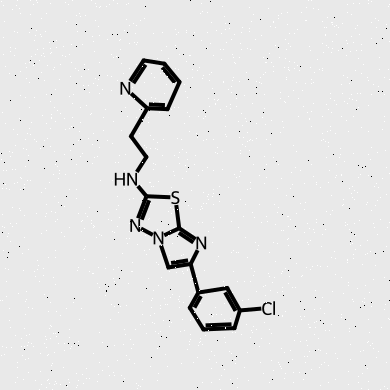 Clc1cccc(-c2cn3nc(NCCc4ccccn4)sc3n2)c1